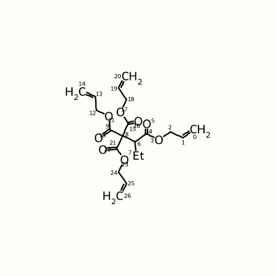 C=CCOC(=O)C(CC)C(C(=O)OCC=C)(C(=O)OCC=C)C(=O)OCC=C